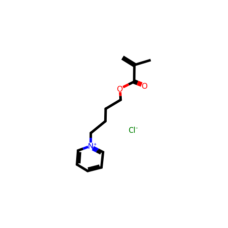 C=C(C)C(=O)OCCCC[n+]1ccccc1.[Cl-]